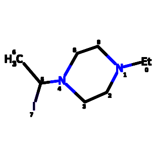 CCN1CCN(C(C)I)CC1